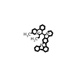 C=CC1C(C2c3cc4c(cc3-c3cccc[n+]32)c2cccc3c5ccccc5n4c32)c2ccccc2-c2ccc(C)c[n+]21